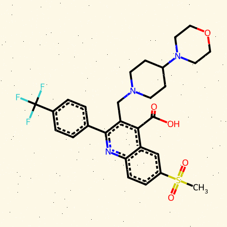 CS(=O)(=O)c1ccc2nc(-c3ccc(C(F)(F)F)cc3)c(CN3CCC(N4CCOCC4)CC3)c(C(=O)O)c2c1